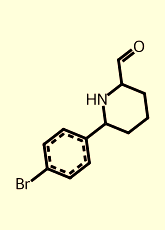 O=CC1CCCC(c2ccc(Br)cc2)N1